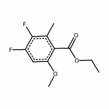 CCOC(=O)c1c(OC)cc(F)c(F)c1C